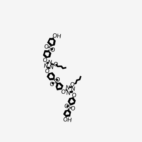 CCCCOc1nc(Oc2ccc(S(=O)(=O)c3ccc(O)cc3)cc2)nc(Oc2ccc(S(=O)(=O)c3ccc(Oc4nc(OCCCC)nc(Oc5ccc(S(=O)(=O)c6ccc(O)cc6)cc5)n4)cc3)cc2)n1